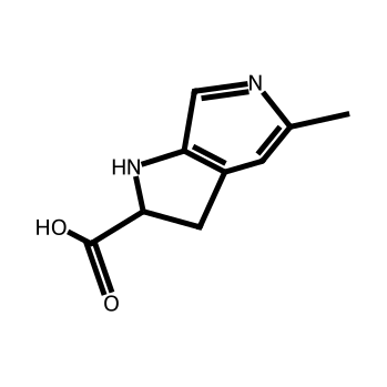 Cc1cc2c(cn1)NC(C(=O)O)C2